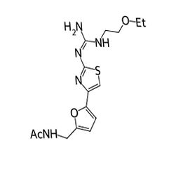 CCOCCNC(N)=Nc1nc(-c2ccc(CNC(C)=O)o2)cs1